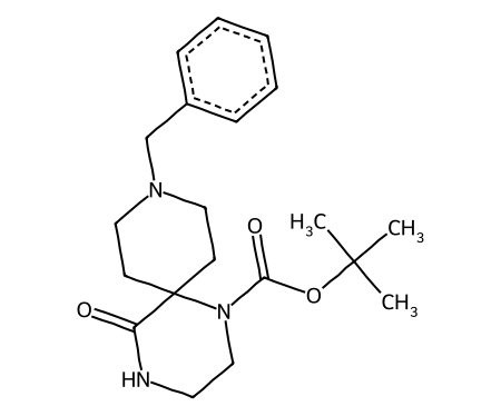 CC(C)(C)OC(=O)N1CCNC(=O)C12CCN(Cc1ccccc1)CC2